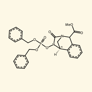 COC(=O)C1c2ccccc2[C@@H]2CN1C(=O)N2OP(=O)(OCc1ccccc1)OCc1ccccc1